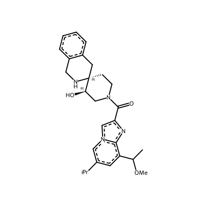 COC(C)c1cc(C(C)C)cn2cc(C(=O)N3CC[C@]4(Cc5ccccc5CN4)[C@H](O)C3)nc12